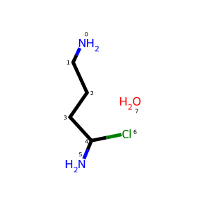 NCCCC(N)Cl.O